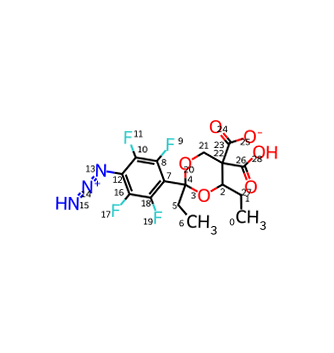 CCC1OC(CC)(c2c(F)c(F)c(N=[N+]=N)c(F)c2F)OCC1(C(=O)[O-])C(=O)O